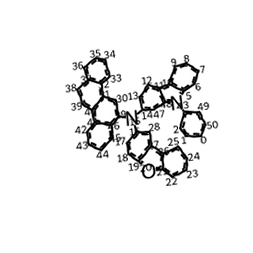 c1ccc(-n2c3ccccc3c3ccc(N(c4ccc5oc6ccccc6c5c4)c4cc5c6ccccc6ccc5c5ccccc45)cc32)cc1